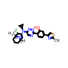 C[C@@]12CCC[C@@H](C[C@H](N(c3cnc(-c4ccc(-c5csc(C#N)n5)cc4O)nn3)C3CC3)[C@@H]1F)N2